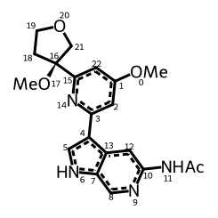 COc1cc(-c2c[nH]c3cnc(NC(C)=O)cc23)nc([C@]2(OC)CCOC2)c1